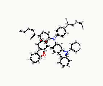 C=C/C=C\C(=C)c1ccc(N(c2ccc(/C(C)=C/C=C\C)cc2)c2cc3c(cc2-c2cccc4c2oc2ccccc24)c2ccccc2n3C(/C=C\C)=C/C)cc1